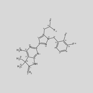 C=C1Nc2nc(-c3cc(CC(F)F)n(Cc4cccc(F)c4F)n3)nc(N)c2C1(C)C